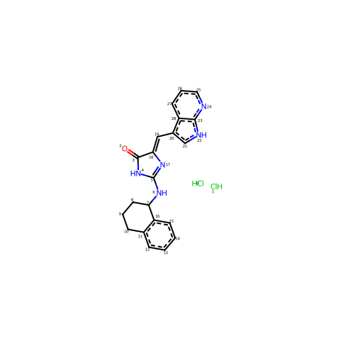 Cl.Cl.O=C1NC(NC2CCCc3ccccc32)=NC1=Cc1c[nH]c2ncccc12